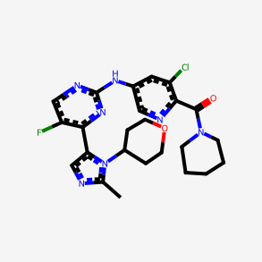 Cc1ncc(-c2nc(Nc3cnc(C(=O)N4CCCCC4)c(Cl)c3)ncc2F)n1C1CCOCC1